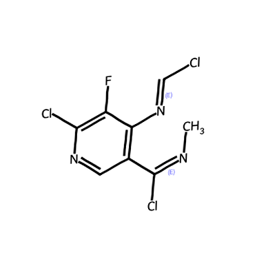 C/N=C(/Cl)c1cnc(Cl)c(F)c1/N=C/Cl